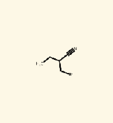 CCC(C#N)CBr